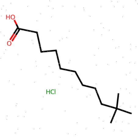 CC(C)(C)CCCCCCCCC(=O)O.Cl